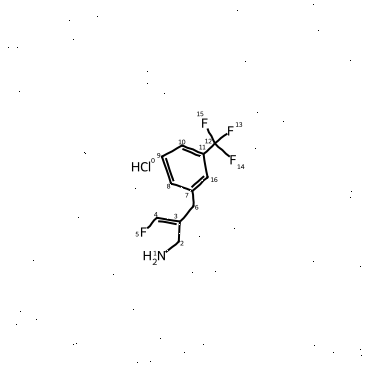 Cl.NCC(=CF)Cc1cccc(C(F)(F)F)c1